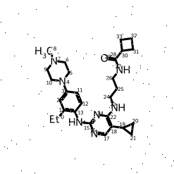 CCc1cc(N2CCN(C)CC2)ccc1Nc1ncc(C2CC2)c(NCCCNC(=O)C2CCC2)n1